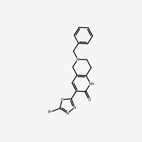 CC(C)c1nnc(-c2cc3c([nH]c2=O)CCN(Cc2ccccc2)C3)o1